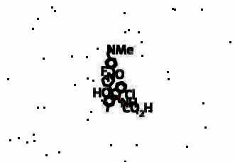 CNCc1ccc(C(=O)N2CCCC(C(O)(CCCNC(=O)O)c3cccc(Cl)c3Cc3cccc(C)c3)C2)c(F)c1